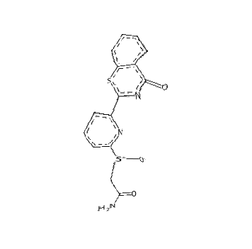 NC(=O)C[S+]([O-])c1cccc(-c2nc(=O)c3ccccc3s2)n1